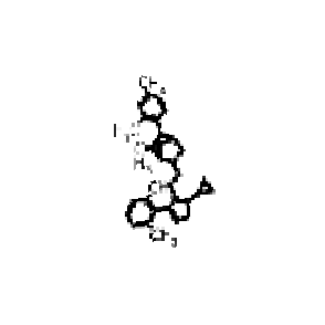 Cc1ccc(C2C3CC(CCC4=C(C5CC5)CC=C4c4c(C)cccc4C)C(C3)C2C)c(C)c1